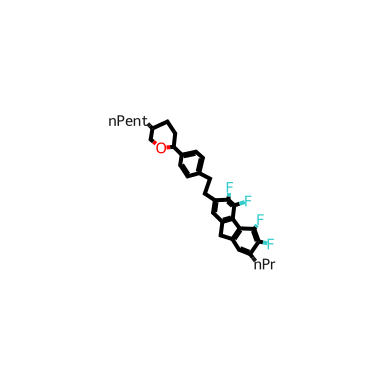 CCCCCC1CCC(c2ccc(CCc3cc4c(c(F)c3F)-c3c(cc(CCC)c(F)c3F)C4)cc2)OC1